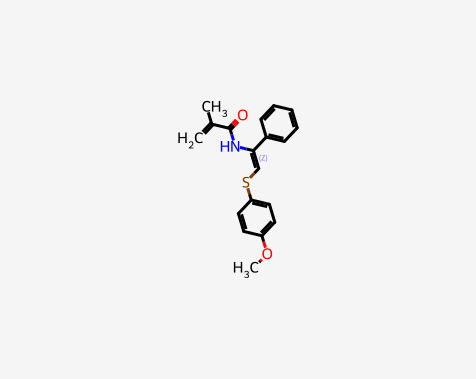 C=C(C)C(=O)N/C(=C\Sc1ccc(OC)cc1)c1ccccc1